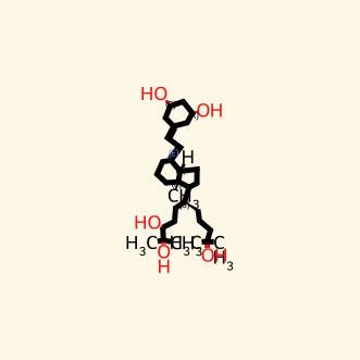 CC(C)(O)CCC[C@@H](CCC(O)C(C)(C)O)C1CC[C@H]2/C(=C/C=C3C[C@@H](O)C[C@H](O)C3)CCC[C@]12C